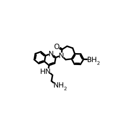 Bc1ccc2c(c1)CCC(=O)N(c1cc(NCCN)c3ccccc3n1)C2